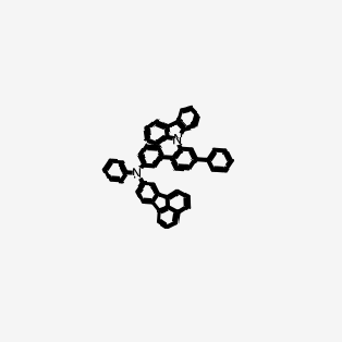 c1ccc2c3ccccc3n(-c3cc(-c4ccccc4)ccc3-c3cccc(N(c4ccccc4)c4ccc5c(c4)-c4cccc6cccc-5c46)c3)c2c#1